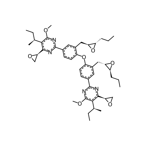 CCC[C@@H]1O[C@H]1Cc1cc(-c2nc(OC)c([C@@H](C)CC)c([C@H]3CO3)n2)ccc1Oc1ccc(-c2nc(OC)c([C@@H](C)CC)c([C@H]3CO3)n2)cc1C[C@@H]1O[C@H]1CCC